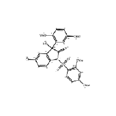 COc1ccc(S(=O)(=O)N2C(=O)C(O)(c3cc(OC)ccc3OC)c3cc(Cl)ccc32)c(OC)c1